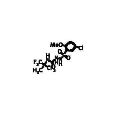 COc1ccc(Cl)cc1S(=O)(=O)NNC(=O)NC(C)(C(F)(F)F)C(F)(F)F